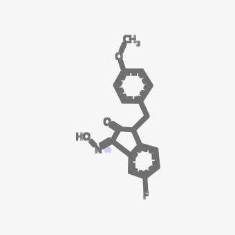 COc1ccc(CC2C(=O)/C(=N\O)c3cc(F)ccc32)cc1